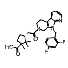 CC1(C)[C@@H](CC(=O)N2CCc3c(n(Cc4ccc(F)cc4F)c4ncccc34)C2)CC[C@@]1(C)C(=O)O